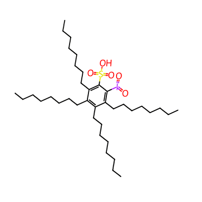 CCCCCCCCc1c(CCCCCCCC)c(CCCCCCCC)c(S(=O)(=O)O)c(I(=O)=O)c1CCCCCCCC